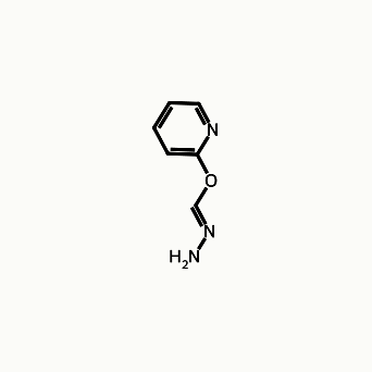 NN=COc1ccccn1